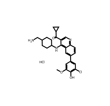 COc1cc(-c2ccc3ncc(C(=O)C4CC4)c(NC4CCC(CN)CC4)c3c2)cc(Cl)c1O.Cl